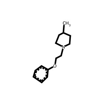 CC1CCN(CCOc2ccccc2)CC1